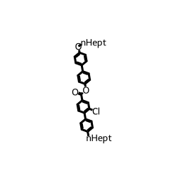 CCCCCCCOc1ccc(-c2ccc(OC(=O)c3ccc(-c4ccc(CCCCCCC)cc4)c(Cl)c3)cc2)cc1